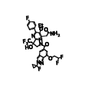 CCOc1c(CC(N)=O)cc([C@@](O)(CNC(=O)c2cc(OCC(F)F)c3nn(C4(F)CC4)cc3c2)C(F)(F)F)nc1-c1ccc(F)cc1